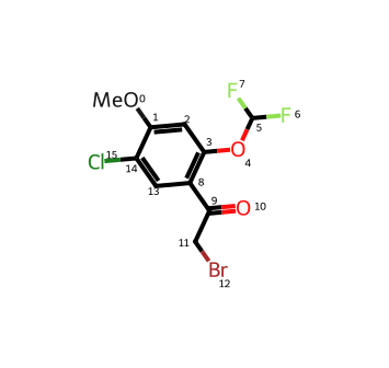 COc1cc(OC(F)F)c(C(=O)CBr)cc1Cl